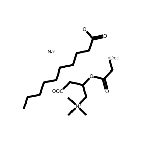 CCCCCCCCCC(=O)[O-].CCCCCCCCCCCC(=O)OC(CC(=O)[O-])C[N+](C)(C)C.[Na+]